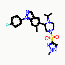 Cc1cc2c(cnn2-c2ccc(F)cc2)cc1C1CN(S(=O)(=O)c2cnn(C)n2)CCN1C(C)C